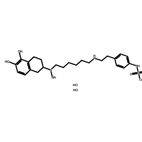 CCCN(CCCCCCNCCc1ccc(NS(C)(=O)=O)cc1)C1CCc2c(ccc(O)c2O)C1.Cl.Cl